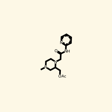 CC(=O)OCC1CN(C)CCN1CC(=O)Nc1ccccn1